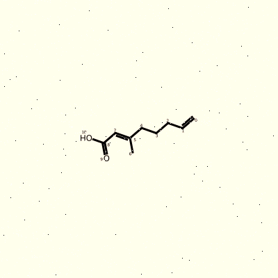 C=CCCC/C(C)=C/C(=O)O